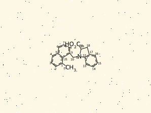 Cc1cccc2cccc(CN3c4ccccc4CC3C(=O)O)c12